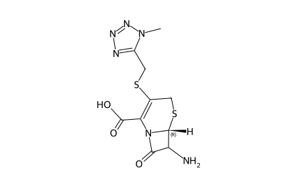 Cn1nnnc1CSC1=C(C(=O)O)N2C(=O)C(N)[C@H]2SC1